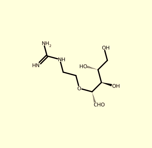 N=C(N)NCCO[C@@H](C=O)[C@H](O)[C@H](O)CO